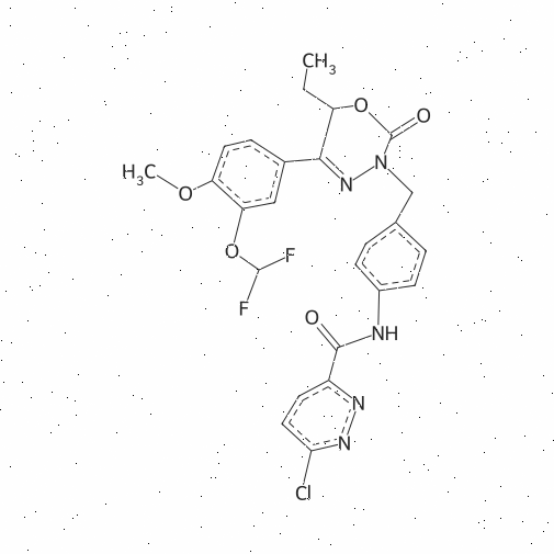 CCC1OC(=O)N(Cc2ccc(NC(=O)c3ccc(Cl)nn3)cc2)N=C1c1ccc(OC)c(OC(F)F)c1